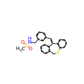 CS(=O)(=O)NCc1cccc(/C=C2\c3ccccc3CSc3ccccc32)c1